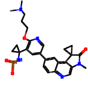 CN(C)CCCOc1ncc(-c2ccc3ncc4c(c3c2)C2(CC2)C(=O)N4C)cc1C1(N[SH](=O)=O)CC1